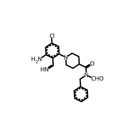 N=Cc1c(N)cc(Cl)cc1N1CCC(C(=O)N(C=O)Cc2ccccc2)CC1